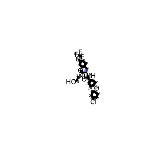 O=C(NCCO)/C(=C\c1ccc(OC(F)(F)F)cc1)NC(=O)c1ccc(Oc2ccc(Cl)cc2)cc1